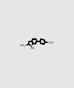 O=C(O)c1ccc(-c2ccc3c(c2)N(O)C(C(=O)O)C3)cc1